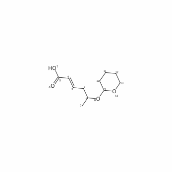 CC(C/C=C/C(=O)O)OC1CCCCO1